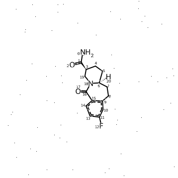 NC(=O)[C@H]1CC[C@H]2CCc3cc(F)ccc3C(=O)N2C1